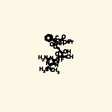 C#C[C@@]1(F)[C@H](O)[C@@H](COP(=O)(N[C@@H](C)C(=O)OC(C)C)Oc2ccccc2)O[C@H]1n1cnc2c(N(C)C)nc(N)nc21